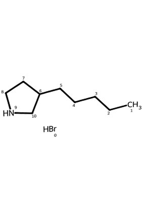 Br.CCCCCC1CCNC1